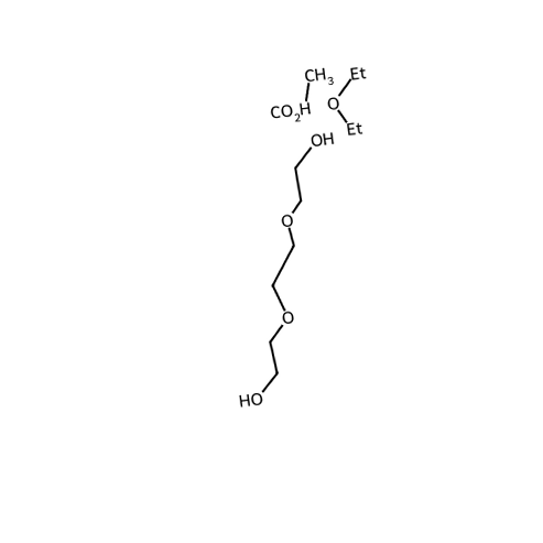 CC(=O)O.CCOCC.OCCOCCOCCO